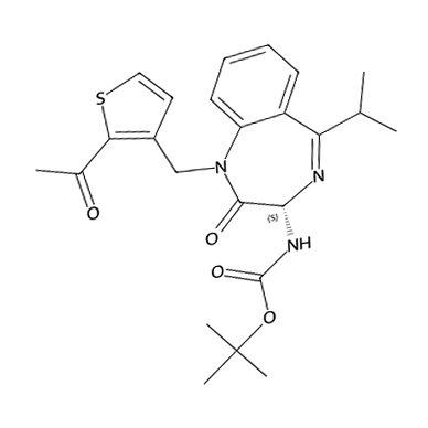 CC(=O)c1sccc1CN1C(=O)[C@@H](NC(=O)OC(C)(C)C)N=C(C(C)C)c2ccccc21